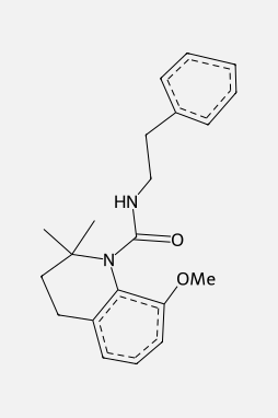 COc1cccc2c1N(C(=O)NCCc1ccccc1)C(C)(C)CC2